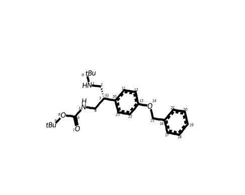 CC(C)(C)NC[C@@H](CNC(=O)OC(C)(C)C)c1ccc(OCc2ccccc2)cc1